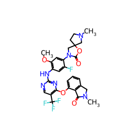 COc1cc(N2CC3(CCN(C)C3)OC2=O)c(F)cc1Nc1ncc(C(F)(F)F)c(Oc2cccc3c2C(=O)N(C)C3)n1